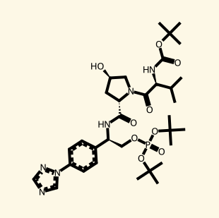 CC(C)[C@H](NC(=O)OC(C)(C)C)C(=O)N1C[C@H](O)C[C@H]1C(=O)N[C@@H](COP(=O)(OC(C)(C)C)OC(C)(C)C)c1ccc(-n2cncn2)cc1